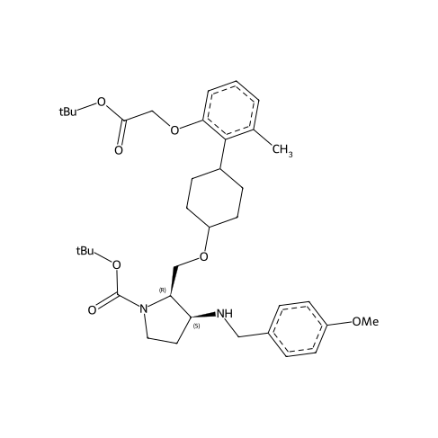 COc1ccc(CN[C@H]2CCN(C(=O)OC(C)(C)C)[C@H]2COC2CCC(c3c(C)cccc3OCC(=O)OC(C)(C)C)CC2)cc1